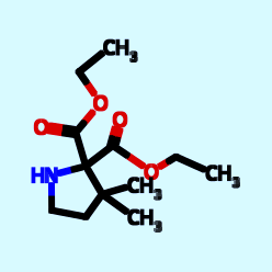 CCOC(=O)C1(C(=O)OCC)NCCC1(C)C